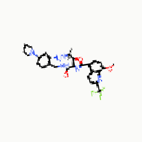 COc1ccc(-c2nc(C(=O)NCc3ccc(N4CCCC4)cc3)c([C@H](C)N)o2)c2ccc(C(F)(F)F)nc12